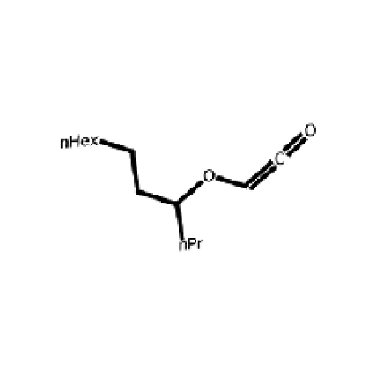 CCCCCCCCC(CCC)OC=C=O